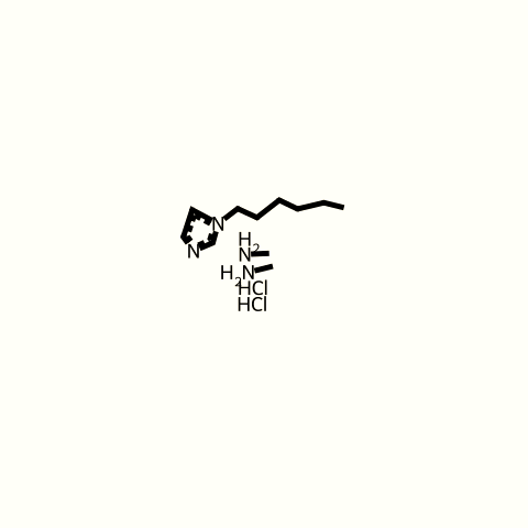 CCCCCCn1ccnc1.CN.CN.Cl.Cl